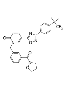 CC(C)(c1ccc(-c2noc(-c3ccc(=O)n(Cc4cccc(C(=O)N5CCCO5)c4)c3)n2)cc1)C(F)(F)F